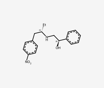 CC[C@@H](Cc1ccc([N+](=O)[O-])cc1)NC[C@H](O)c1ccccc1